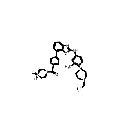 CCN1CCN(c2ccc(Nc3nc4cccc(-c5ccc(C(=O)N6CCS(=O)(=O)CC6)cc5)c4o3)cc2C)CC1